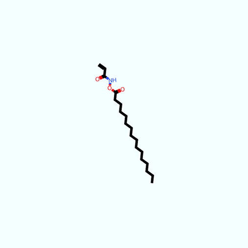 C=CC(=O)NOC(=O)CCCCCCCCCCCCCCC